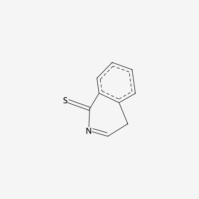 S=C1N=CCc2ccccc21